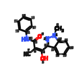 Cn1nc(C(O)=C(C#N)C(=O)Nc2ccccc2)c2ccccc21